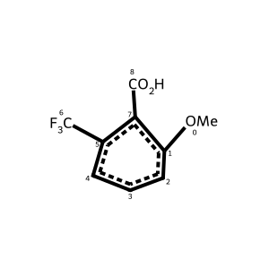 COc1cccc(C(F)(F)F)c1C(=O)O